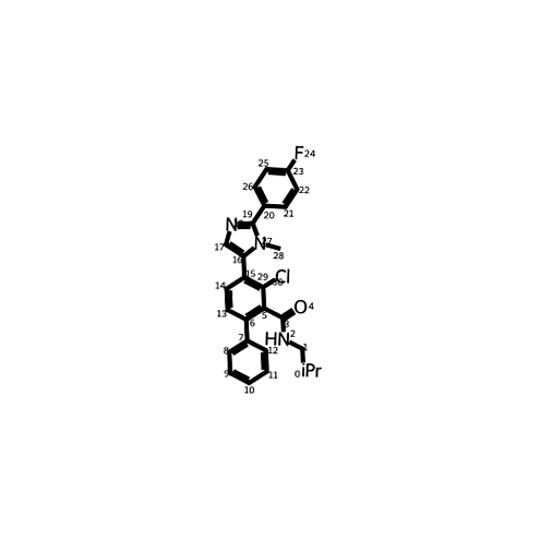 CC(C)CNC(=O)c1c(-c2ccccc2)ccc(-c2cnc(-c3ccc(F)cc3)n2C)c1Cl